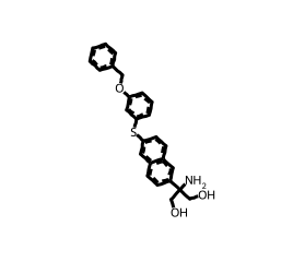 NC(CO)(CO)c1ccc2cc(Sc3cccc(OCc4ccccc4)c3)ccc2c1